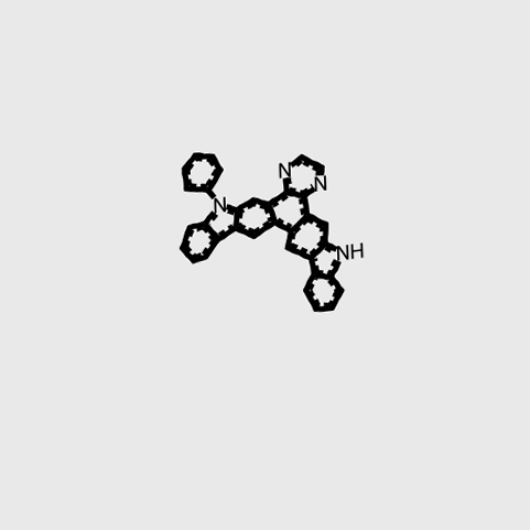 c1ccc(-n2c3ccccc3c3cc4c5cc6c(cc5c5nccnc5c4cc32)[nH]c2ccccc26)cc1